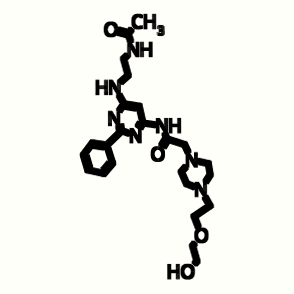 CC(=O)NCCNc1cc(NC(=O)CN2CCN(CCOCCO)CC2)nc(-c2ccccc2)n1